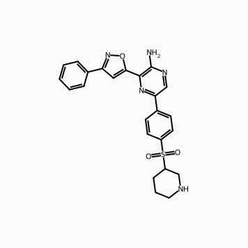 Nc1ncc(-c2ccc(S(=O)(=O)C3CCCNC3)cc2)nc1-c1cc(-c2ccccc2)no1